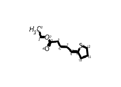 CCOC(=O)CCC/C=C1/CCCS1